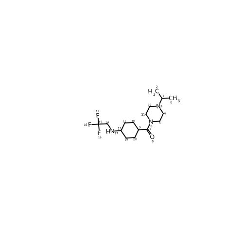 CC(C)N1CCN(C(=O)C2CCC(NCC(F)(F)F)CC2)CC1